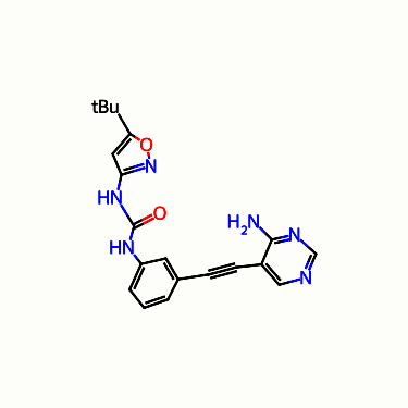 CC(C)(C)c1cc(NC(=O)Nc2cccc(C#Cc3cncnc3N)c2)no1